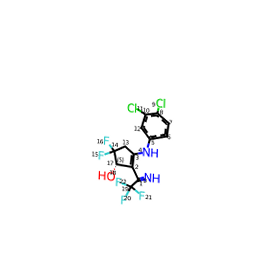 N=C(C1=C(Nc2ccc(Cl)c(Cl)c2)CC(F)(F)[C@H]1O)C(F)(F)F